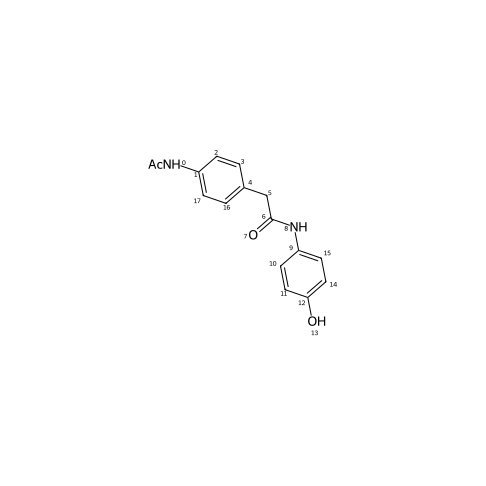 CC(=O)Nc1ccc(CC(=O)Nc2ccc(O)cc2)cc1